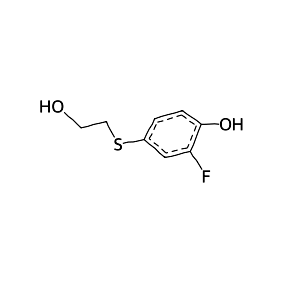 OCCSc1ccc(O)c(F)c1